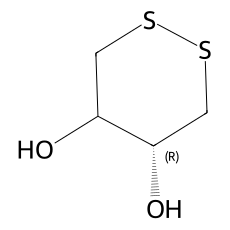 OC1CSSC[C@@H]1O